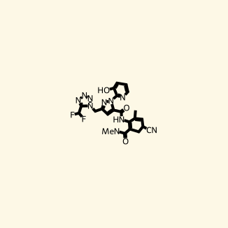 CNC(=O)C1=C(NC(=O)c2cc(Cn3nnnc3C(F)F)nn2-c2ncccc2O)C(C)=CC(C#N)C1